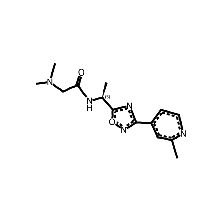 Cc1cc(-c2noc([C@H](C)NC(=O)CN(C)C)n2)ccn1